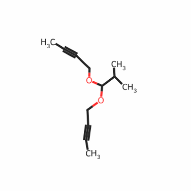 CC#CCOC(OCC#CC)C(C)C